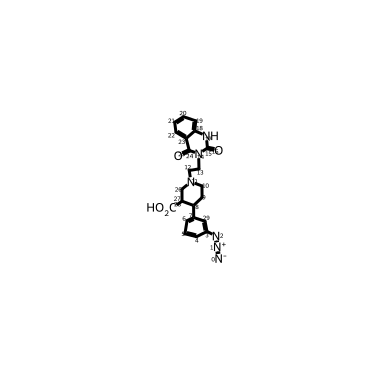 [N-]=[N+]=Nc1cccc(C2CCN(CCn3c(=O)[nH]c4ccccc4c3=O)CC2C(=O)O)c1